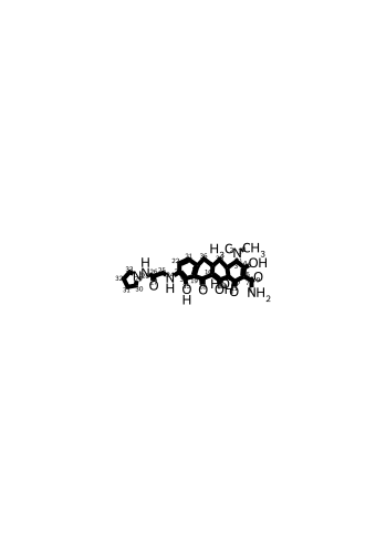 CN(C)[C@@H]1C(O)=C(C(N)=O)C(=O)C2(O)C(O)=C3C(=O)c4c(ccc(NCC(=O)NN5CCCC5)c4O)CC3CC12